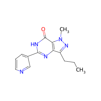 CCCc1nn(C)c2c(=O)[nH]c(-c3cccnc3)nc12